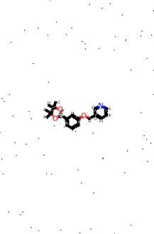 CC1(C)OB(c2cccc(OCc3cccnc3)c2)OC1(C)C